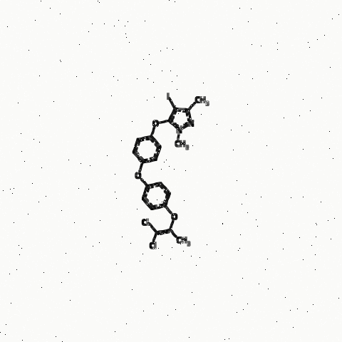 CC(Oc1ccc(Oc2ccc(Oc3c(I)c(C)nn3C)cc2)cc1)=C(Cl)Cl